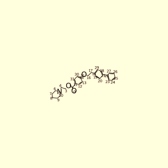 O=C(OCCN1CCCCC1)c1ccc(OCCc2ccc(-c3ccccc3)cc2)cc1